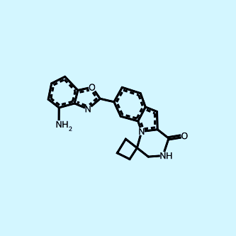 Nc1cccc2oc(-c3ccc4cc5n(c4c3)C3(CCC3)CNC5=O)nc12